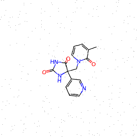 Cc1cccn(CC2(c3cccnc3)NC(=O)NC2=O)c1=O